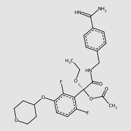 CCO[C@@](OC(C)=O)(C(=O)NCc1ccc(C(=N)N)cc1)c1c(F)ccc(OC2CCOCC2)c1F